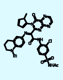 CCN1CCCc2cc(/N=C(\C(=O)Nc3ccc(S(=O)(=O)NC(C)=O)cc3Cl)c3nc4nccnc4c(=O)n3C3=CC=CC3C)ccc21